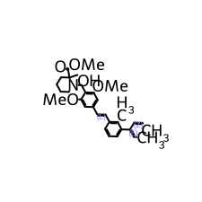 C/C=C\C(=C/C)c1cccc(/C=C/c2cc(OC)c(CN3CCCCC3(CO)C(=O)OC)c(OC)c2)c1C